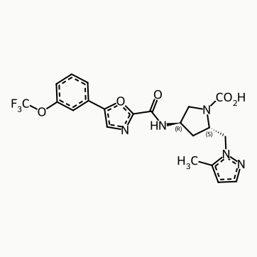 Cc1ccnn1C[C@@H]1C[C@@H](NC(=O)c2ncc(-c3cccc(OC(F)(F)F)c3)o2)CN1C(=O)O